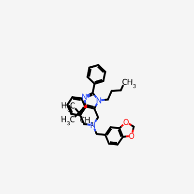 CCCCn1c(-c2ccccc2)nc(C(C)(C)C)c1CN(Cc1ccccc1)Cc1ccc2c(c1)OCO2